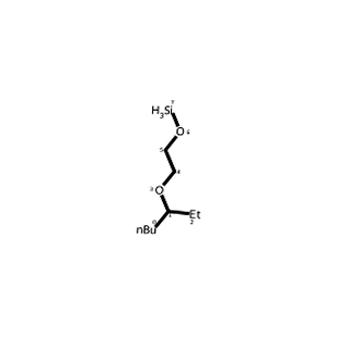 CCCCC(CC)OCCO[SiH3]